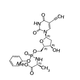 C#Cc1cn([C@H]2C[C@@H](O)[C@@H](COP(=O)(N[C@@H](C)C(=O)OC)Oc3ccccc3)O2)c(=O)[nH]c1=O